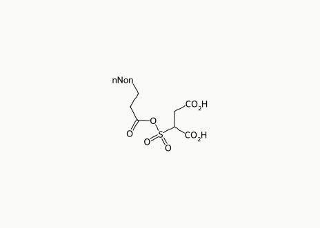 CCCCCCCCCCCC(=O)OS(=O)(=O)C(CC(=O)O)C(=O)O